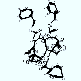 CC1=C2[C@@H](OC(=O)OCc3ccccc3)C(=O)[C@@]3(C)C([C@@H]4CO[C@@H]4C[C@@H]3OC(=O)OCc3ccccc3)[C@H](OC(=O)c3ccccc3)[C@](O)(C[C@@H]1O)C2(C)C